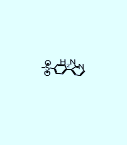 CS(=O)(=O)c1ccc(-c2cccnc2N)cc1